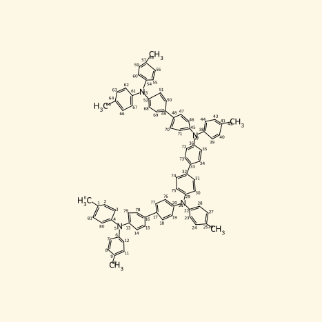 Cc1ccc(N(c2ccc(C)cc2)c2ccc(-c3ccc(N(c4ccc(C)cc4)c4ccc(-c5ccc(N(c6ccc(C)cc6)c6ccc(-c7ccc(N(c8ccc(C)cc8)c8ccc(C)cc8)cc7)cc6)cc5)cc4)cc3)cc2)cc1